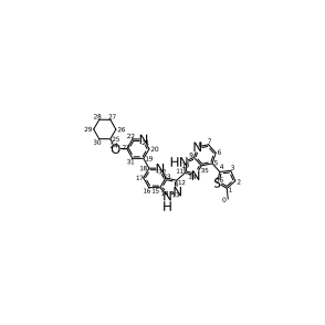 Cc1ccc(-c2ccnc3[nH]c(-c4n[nH]c5ccc(-c6cncc(OC7CCCCC7)c6)nc45)nc23)s1